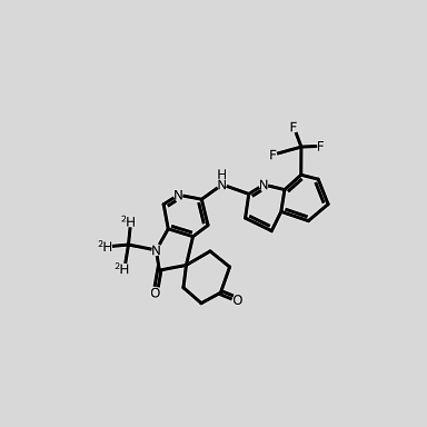 [2H]C([2H])([2H])N1C(=O)C2(CCC(=O)CC2)c2cc(Nc3ccc4cccc(C(F)(F)F)c4n3)ncc21